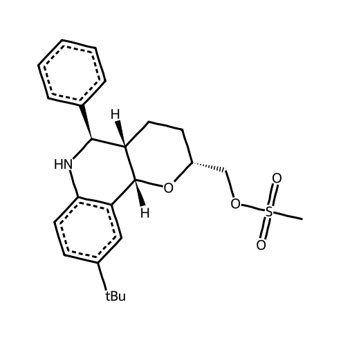 CC(C)(C)c1ccc2c(c1)[C@H]1O[C@@H](COS(C)(=O)=O)CC[C@H]1[C@H](c1ccccc1)N2